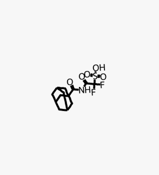 O=C(NC(=O)C(F)(F)S(=O)(=O)O)C12CC3CC(CC(C3)C1)C2